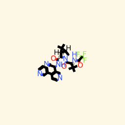 CC(C)(C)[C@H](NC(=O)C(F)(F)F)C(=O)N1C[C@H]2[C@@H]([C@H]1C(=O)NC(C#N)c1cnccc1-c1cccnc1)C2(C)C